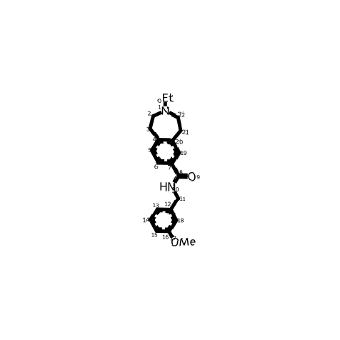 CCN1CCc2ccc(C(=O)NCc3cccc(OC)c3)cc2CC1